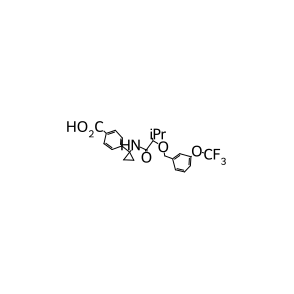 CC(C)C(OCc1cccc(OC(F)(F)F)c1)C(=O)NC1(c2ccc(C(=O)O)cc2)CC1